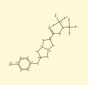 O=C(OC(C(F)(F)F)C(F)(F)F)N1CC2CN(Cc3ccc(Cl)cc3)CC2C1